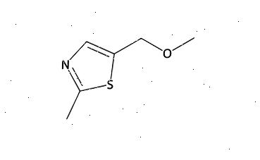 COCc1cnc(C)s1